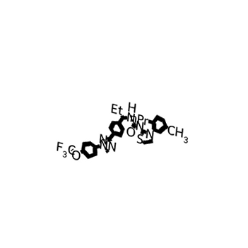 CCCc1ccc(C)cc1N1CCS/C1=N\C(=O)NC(CC)c1ccc(-c2ncn(-c3ccc(OC(F)(F)F)cc3)n2)cc1